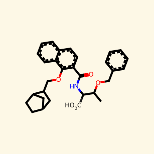 CC(OCc1ccccc1)C(NC(=O)c1ccc2ccccc2c1OCC1CC2CCC1C2)C(=O)O